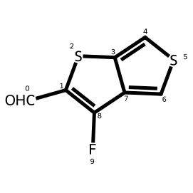 O=Cc1sc2cscc2c1F